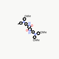 COc1ccc(N(c2ccc(C)cc2)c2ccc(-c3cc4c(=O)[nH]c(-c5ccc(N(c6ccc(OC)cc6)c6ccc(OC)cc6)cc5)cc4c(=O)[nH]3)cc2)cc1